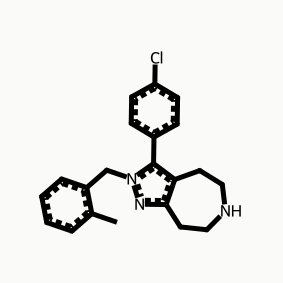 Cc1ccccc1Cn1nc2c(c1-c1ccc(Cl)cc1)CCNCC2